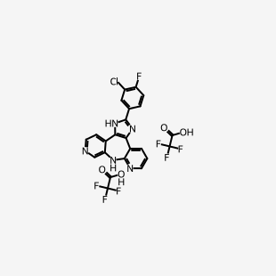 Fc1ccc(-c2nc3c([nH]2)-c2ccncc2Nc2ncccc2-3)cc1Cl.O=C(O)C(F)(F)F.O=C(O)C(F)(F)F